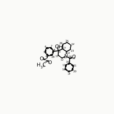 CS(=O)(=O)c1cccc(C2(O)CCN(C(=O)c3ccccc3)C3CCCCC32)c1